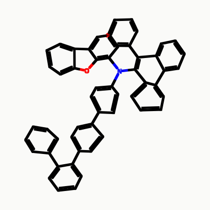 c1ccc(-c2ccccc2-c2ccc(-c3ccc(N(c4c(-c5ccccc5)c5ccccc5c5ccccc45)c4cccc5c4oc4ccccc45)cc3)cc2)cc1